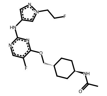 CC(=O)N[C@H]1CC[C@H](COc2nc(Nc3cnn(CCF)c3)ncc2F)CC1